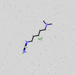 CN(C)CCCCCN=C=N.Cl